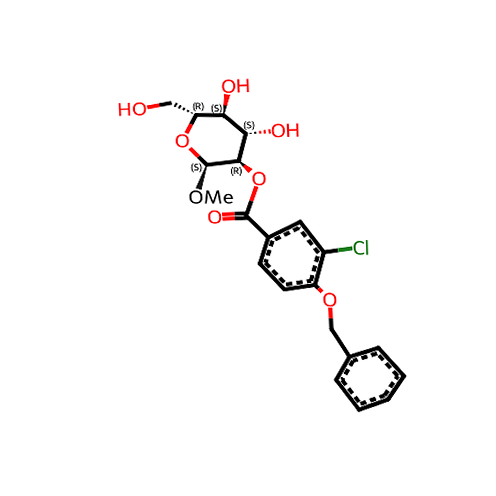 CO[C@H]1O[C@H](CO)[C@@H](O)[C@H](O)[C@H]1OC(=O)c1ccc(OCc2ccccc2)c(Cl)c1